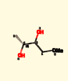 COCC(O)[C@@H](C)O